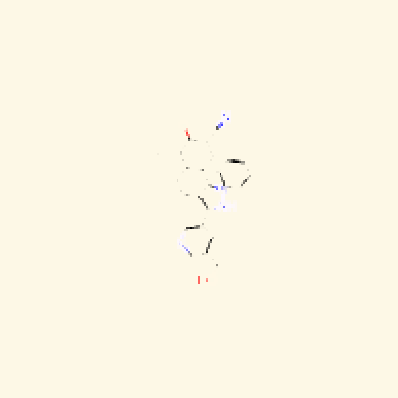 C[C@@H]1C(=O)C(C#N)C[C@@]2(c3ccccc3)c3n[nH]c(-c4cncc(CO)c4)c3CCC12